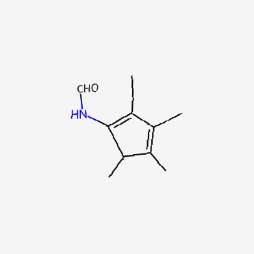 C[C]1C(C)=C(C)C(C)=C1NC=O